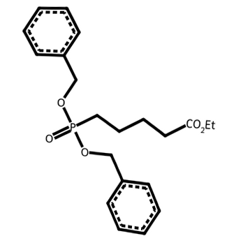 CCOC(=O)CCCCP(=O)(OCc1ccccc1)OCc1ccccc1